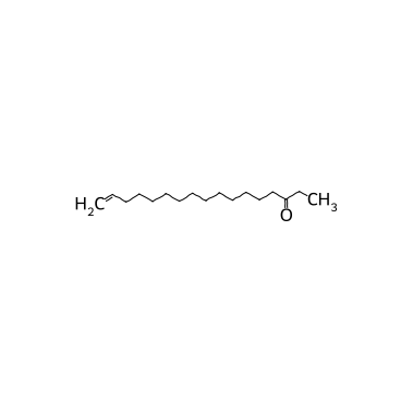 C=CCCCCCCCCCCCCC(=O)CC